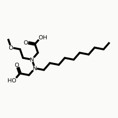 CCCCCCCCCCN(CC(=O)O)N(CCOC)CC(=O)O